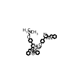 CN(C)CCOc1ccc(-c2cc(-c3cc4ccccc4n3S(=O)(=O)c3ccccc3)c[n+](CN(C)CCOc3ccc(-c4cncc(-c5cc6ccccc6[nH]5)c4)cc3)c2)cc1